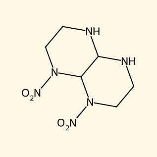 O=[N+]([O-])N1CCNC2NCCN([N+](=O)[O-])C21